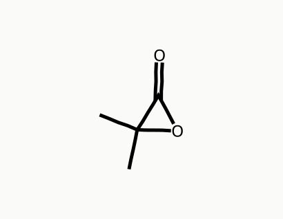 CC1(C)OC1=O